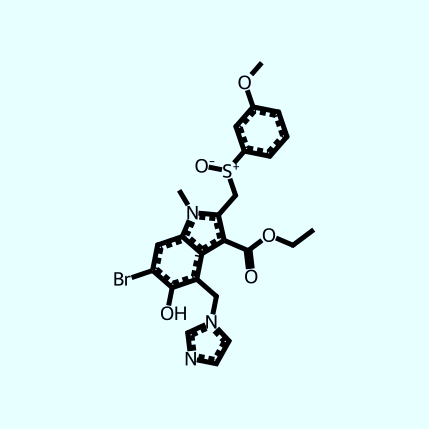 CCOC(=O)c1c(C[S+]([O-])c2cccc(OC)c2)n(C)c2cc(Br)c(O)c(Cn3ccnc3)c12